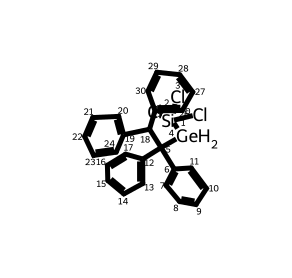 Cl[Si](Cl)(Cl)[GeH2][C](c1ccccc1)(c1ccccc1)C(c1ccccc1)c1ccccc1